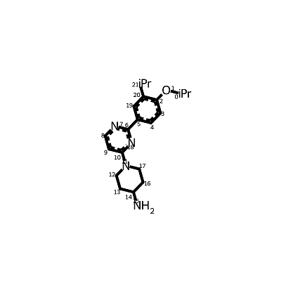 CC(C)Oc1ccc(-c2nccc(N3CCC(N)CC3)n2)cc1C(C)C